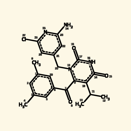 Cc1cc(C)cc(C(=O)c2c(C(C)C)c(=O)[nH]c(=O)n2Cc2cc(N)nc(Cl)c2)c1